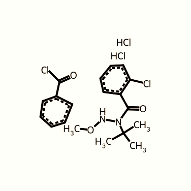 CONN(C(=O)c1ccccc1Cl)C(C)(C)C.Cl.Cl.O=C(Cl)c1ccccc1